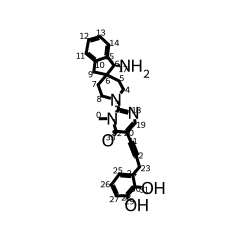 Cn1c(N2CCC3(CC2)Cc2ccccc2[C@H]3N)ncc(C#CCc2cccc(O)c2O)c1=O